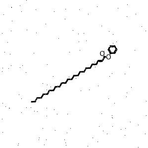 CCCCCCCCCCCCCCCCCCCCCCC=CC(=O)Oc1ccccc1